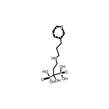 O=P(O)(O)C(O)(CCNCCCc1cccnc1)P(=O)(O)O